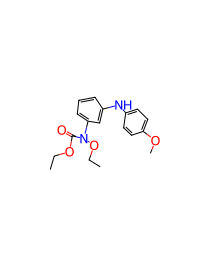 CCOC(=O)N(OCC)c1cccc(Nc2ccc(OC)cc2)c1